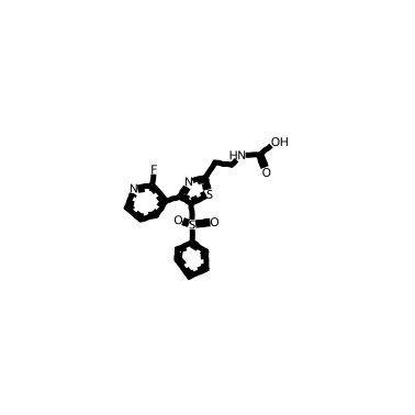 O=C(O)NCCc1nc(-c2cccnc2F)c(S(=O)(=O)c2ccccc2)s1